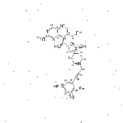 COc1ccc2ncc(CF)c(C(O)CCC3(C(=O)O)CCN(CC#Cc4cc(F)cc(F)c4F)CC3)c2c1